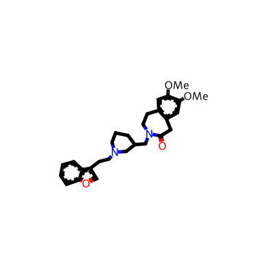 COc1cc2c(cc1OC)CC(=O)N(CC1CCCN(CCc3coc4ccccc34)C1)CC2